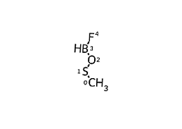 CSOBF